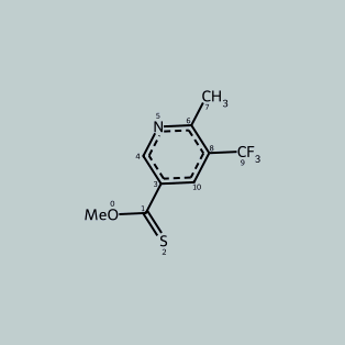 COC(=S)c1cnc(C)c(C(F)(F)F)c1